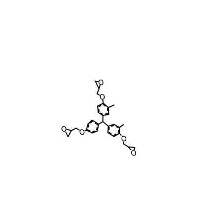 Cc1cc(C(c2ccc(OCC3CO3)cc2)c2ccc(OCC3CO3)c(C)c2)ccc1OCC1CO1